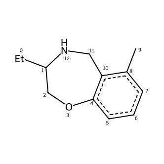 CCC1COc2cccc(C)c2CN1